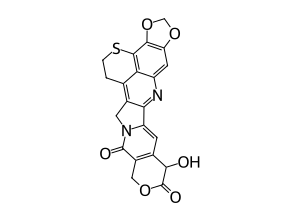 O=C1OCc2c(cc3n(c2=O)Cc2c-3nc3cc4c(c5c3c2CCS5)OCO4)C1O